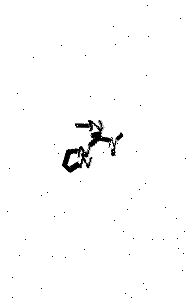 C/N=C(/N(C)C)n1cccn1